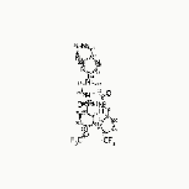 O=C(NCc1ccc(C(F)(F)F)cc1)[C@H]1CN(c2cnc3cncnc3n2)CCN1S(=O)(=O)c1ccc(OC(F)(F)F)cc1